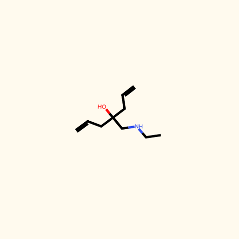 C=CCC(O)(CC=C)CNCC